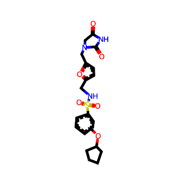 O=C1CN(Cc2ccc(CNS(=O)(=O)c3cccc(OC4CCCC4)c3)o2)C(=O)N1